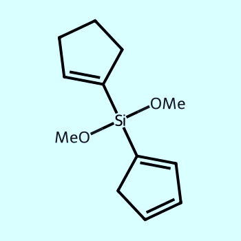 CO[Si](OC)(C1=CC=CC1)C1=CCCC1